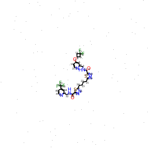 O=C(NCc1cc(OC2CC(F)(F)C2)ccn1)c1nnc(CCCCc2nnc(C(=O)NCc3cc(C(F)(F)F)ccn3)s2)s1